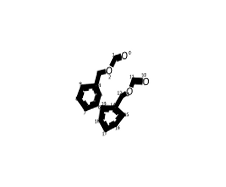 O=COCc1ccccc1.O=COCc1ccccc1